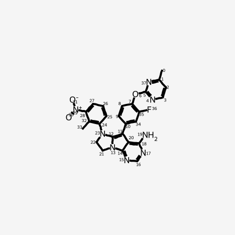 Cc1ccnc(Oc2ccc(-c3c4n(c5ncnc(N)c35)CCN4c3cccc([N+](=O)[O-])c3C)cc2F)n1